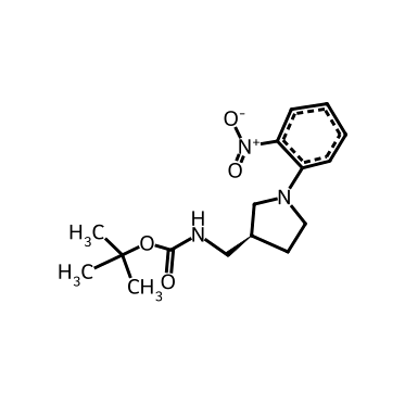 CC(C)(C)OC(=O)NC[C@@H]1CCN(c2ccccc2[N+](=O)[O-])C1